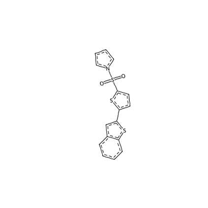 O=S(=O)(c1ccc(-c2cc3ccccc3s2)s1)n1cccc1